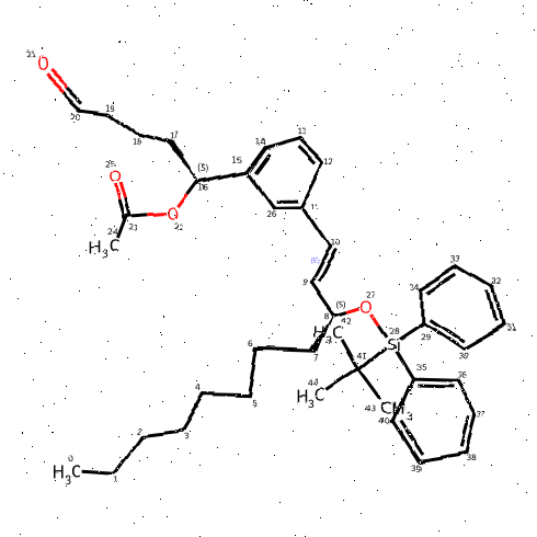 CCCCCCCC[C@@H](/C=C/c1cccc([C@H](CCCC=O)OC(C)=O)c1)O[Si](c1ccccc1)(c1ccccc1)C(C)(C)C